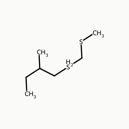 CCC(C)C[SH2]CSC